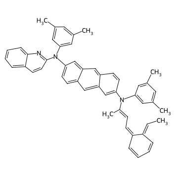 C\C=c1/cccc/c1=C/C=C(\C)N(c1cc(C)cc(C)c1)c1ccc2cc3cc(N(c4cc(C)cc(C)c4)c4ccc5ccccc5n4)ccc3cc2c1